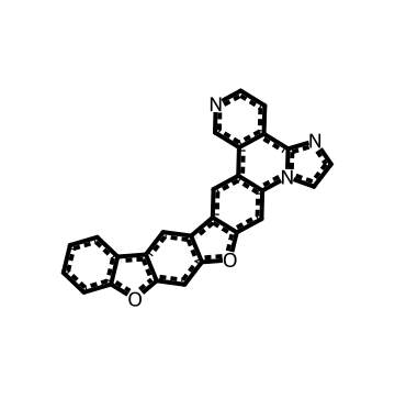 c1ccc2c(c1)oc1cc3oc4cc5c(cc4c3cc12)c1cnccc1c1nccn51